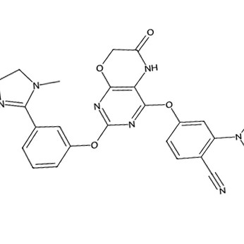 CN1CCN=C1c1cccc(Oc2nc3c(c(Oc4ccc(C#N)c(N(C)C)c4)n2)NC(=O)CO3)c1